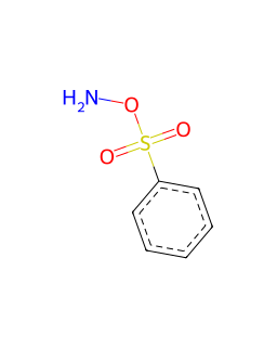 NOS(=O)(=O)c1ccccc1